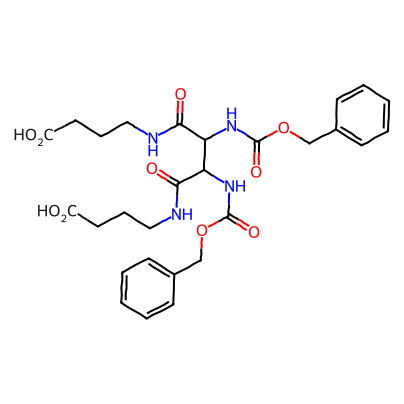 O=C(O)CCCNC(=O)C(NC(=O)OCc1ccccc1)C(NC(=O)OCc1ccccc1)C(=O)NCCCC(=O)O